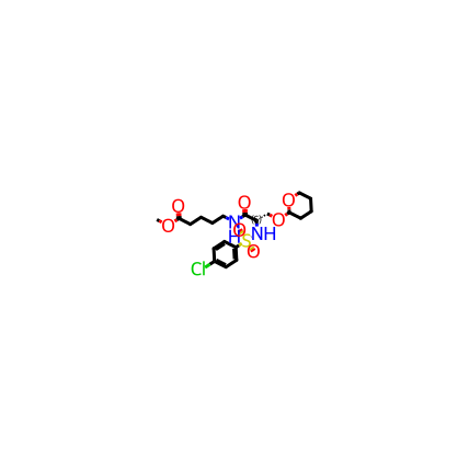 COC(=O)CCCCNC(=O)[C@H](COC1CCCCO1)NS(=O)(=O)c1ccc(Cl)cc1